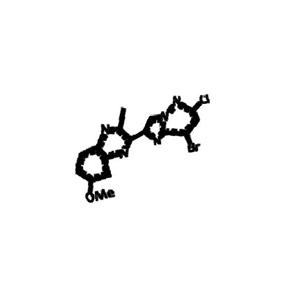 COc1ccc2nc(C)c(-c3cn4nc(Cl)cc(Br)c4n3)nc2c1